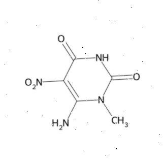 Cn1c(N)c([N+](=O)[O-])c(=O)[nH]c1=O